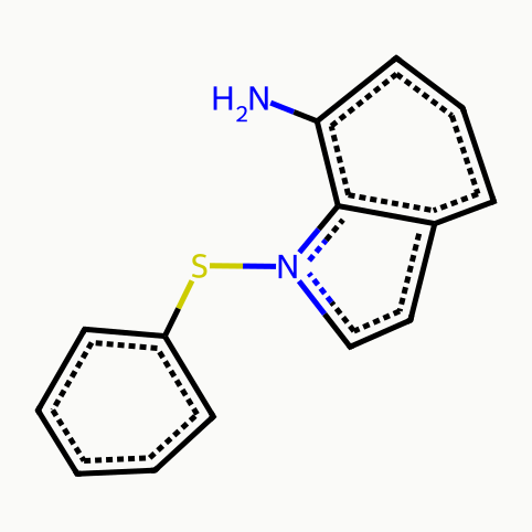 Nc1cccc2ccn(Sc3ccccc3)c12